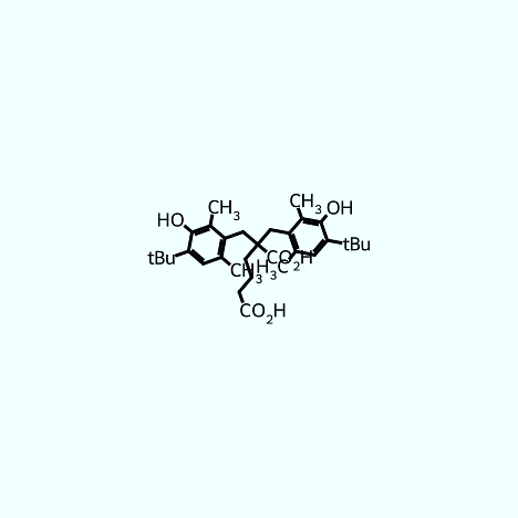 Cc1cc(C(C)(C)C)c(O)c(C)c1CC(CCCC(=O)O)(Cc1c(C)cc(C(C)(C)C)c(O)c1C)C(=O)O